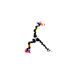 [C-]#[N+]/C(=C\c1ccc(-c2ccc(/C=C/c3ccc(N(c4ccc(/C=C/c5ccc(-c6ccc(/C=C(\C#N)C(=O)O)s6)s5)cc4)c4ccc(CCCCCCCCCCCC)cc4)cc3)s2)s1)C(=O)O